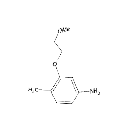 COCCOc1cc(N)ccc1C